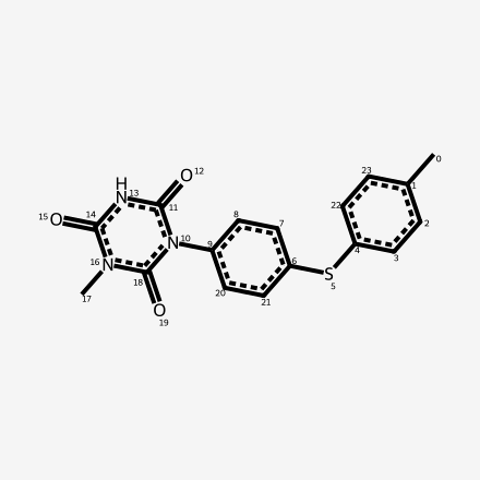 Cc1ccc(Sc2ccc(-n3c(=O)[nH]c(=O)n(C)c3=O)cc2)cc1